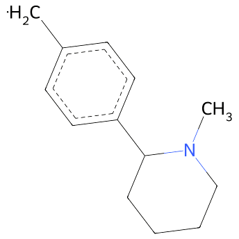 [CH2]c1ccc(C2CCCCN2C)cc1